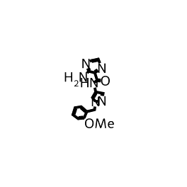 COc1ccccc1Cn1cc(NC(=O)c2nccnc2N)cn1